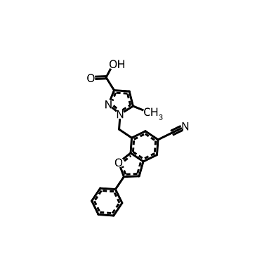 Cc1cc(C(=O)O)nn1Cc1cc(C#N)cc2cc(-c3ccccc3)oc12